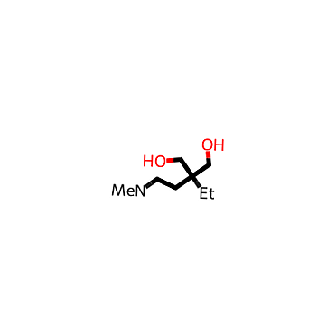 CCC(CO)(CO)CCNC